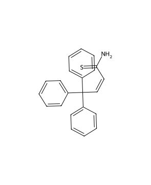 NC(=S)/C=C\C(c1ccccc1)(c1ccccc1)c1ccccc1